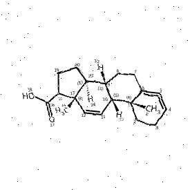 C[C@]12CCC=C=C1CC[C@@H]1[C@H]2C=C[C@]2(C)C(C(=O)O)CC[C@@H]12